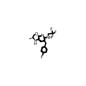 C[C@H]1COc2nc(NCC(F)(F)F)c(Cc3ccc(F)cc3)cc2N1